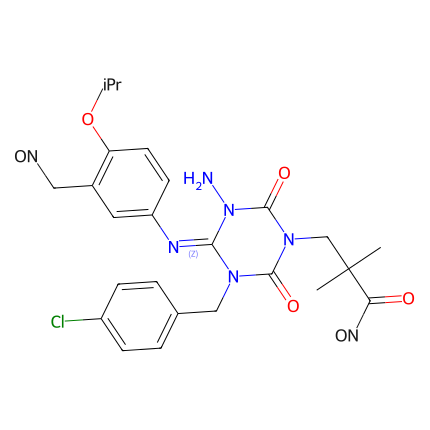 CC(C)Oc1ccc(/N=c2\n(N)c(=O)n(CC(C)(C)C(=O)N=O)c(=O)n2Cc2ccc(Cl)cc2)cc1CN=O